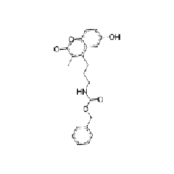 Cc1c(CCCNC(=O)OCc2ccccc2)c2cc(O)ccc2oc1=O